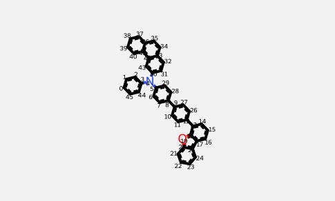 c1ccc(N(c2ccc(-c3ccc(-c4cccc5c4oc4ccccc45)cc3)cc2)c2ccc3ccc4ccccc4c3c2)cc1